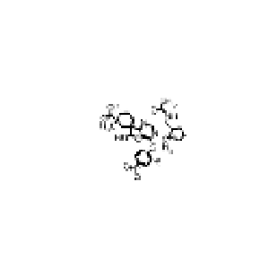 CC1(C(=O)O)C=CCC(C(=O)O)(c2cc(Oc3ccc([N+](=O)[O-])cc3F)ncn2)C1.CN1CCC[C@@H]1CNC(N)=O